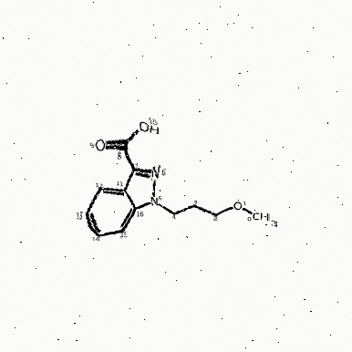 COCCCn1nc(C(=O)O)c2ccccc21